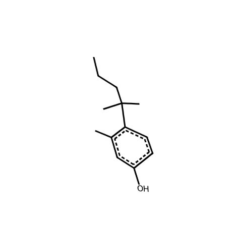 CCCC(C)(C)c1ccc(O)cc1C